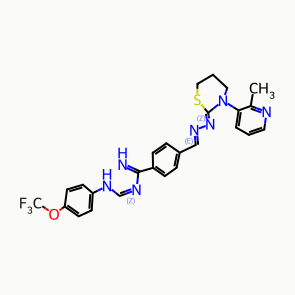 Cc1ncccc1N1CCCS/C1=N\N=C\c1ccc(C(=N)/N=C\Nc2ccc(OC(F)(F)F)cc2)cc1